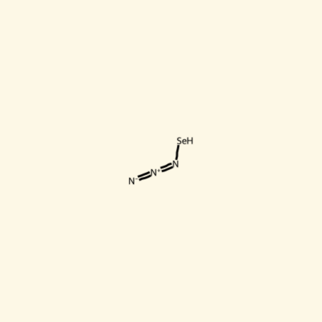 [N-]=[N+]=N[SeH]